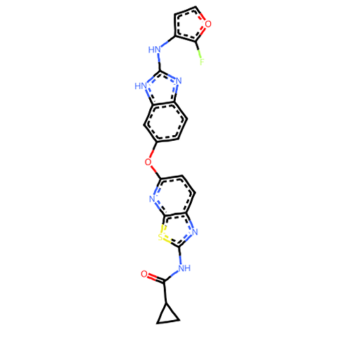 O=C(Nc1nc2ccc(Oc3ccc4nc(Nc5ccoc5F)[nH]c4c3)nc2s1)C1CC1